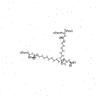 CCCCCC(CCCCC)CC(=O)OCCCCCCCCCC1(CCCCCCCOC(=O)CC(CCCCC)CCCCC)OCC(CN(CC)CC)O1